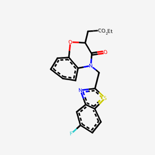 CCOC(=O)CC1Oc2ccccc2N(Cc2nc3cc(F)ccc3s2)C1=O